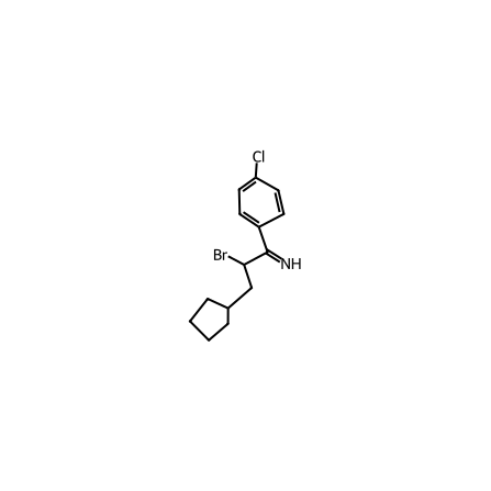 N=C(c1ccc(Cl)cc1)C(Br)CC1CCCC1